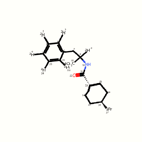 [2H]c1c([2H])c([2H])c(CC([2H])(NC(=O)[C@H]2CC[C@H](C(C)C)CC2)C(=O)O)c([2H])c1[2H]